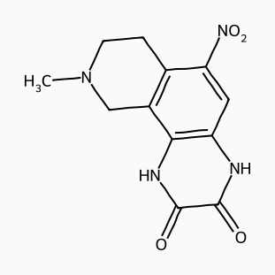 CN1CCc2c([N+](=O)[O-])cc3[nH]c(=O)c(=O)[nH]c3c2C1